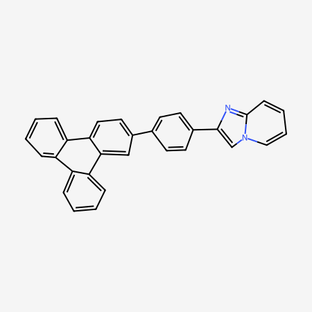 c1ccc2c(c1)c1ccccc1c1cc(-c3ccc(-c4cn5ccccc5n4)cc3)ccc21